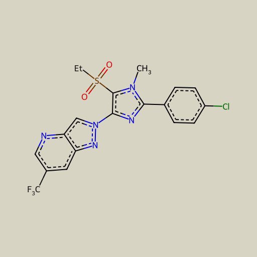 CCS(=O)(=O)c1c(-n2cc3ncc(C(F)(F)F)cc3n2)nc(-c2ccc(Cl)cc2)n1C